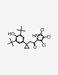 CC(C)(C)c1cc(C2(CC(=O)c3[nH]c(Cl)c(Cl)c3Cl)CC2)cc(C(C)(C)C)c1O